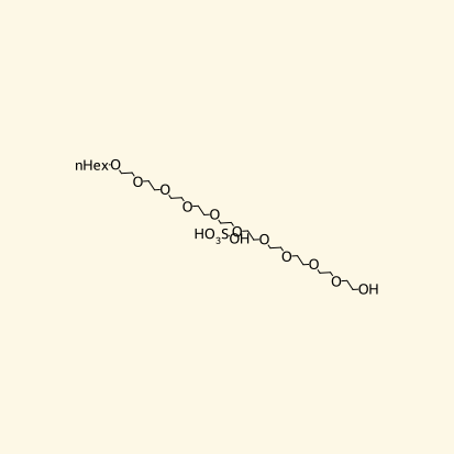 CCCCCCOCCOCCOCCOCCOCCOCCOCCOCCOCCOCCO.O=S(=O)(O)O